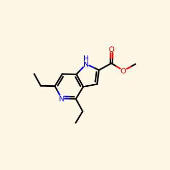 CCc1cc2[nH]c(C(=O)OC)cc2c(CC)n1